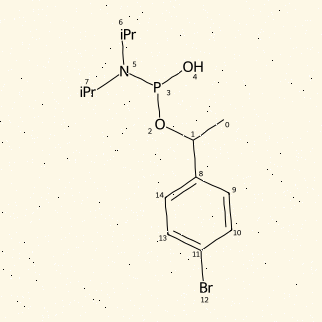 CC(OP(O)N(C(C)C)C(C)C)c1ccc(Br)cc1